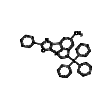 Cc1cc2c(S(c3ccccc3)(c3ccccc3)c3ccccc3)cn3c4oc(-c5ccccc5)nc4c(c1)c23